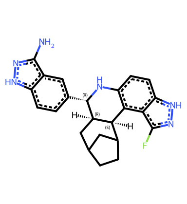 Nc1n[nH]c2ccc([C@@H]3Nc4ccc5[nH]nc(F)c5c4[C@H]4C5CCC(C5)C[C@@H]34)cc12